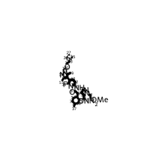 COCCn1ncc([C@@H](C(=O)Nc2ccc(-c3c(C)nn(COCC[Si](C)(C)C)c3C)c(F)n2)C2CCC(C)CC2)c1C(N)=O